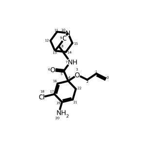 C=CCOC1(C(=O)NC2CN3CCC2CC3)C=C(Cl)C(N)=CC1